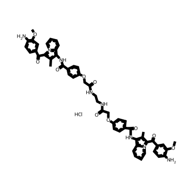 COc1cc(C(=O)c2c(C)c(NC(=O)c3ccc(OCC(=O)NCCNC(=O)COc4ccc(C(=O)Nc5c(C)c(C(=O)c6ccc(N)c(OC)c6)n6ccccc56)cc4)cc3)c3ccccn23)ccc1N.Cl